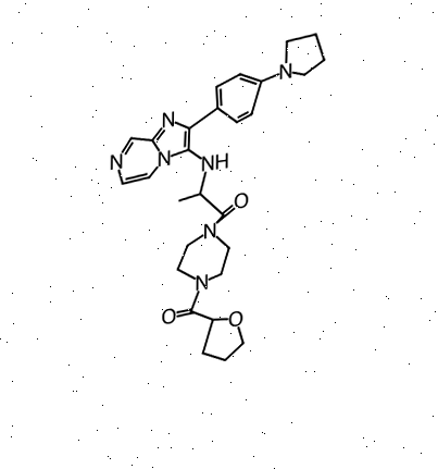 CC(Nc1c(-c2ccc(N3CCCC3)cc2)nc2cnccn12)C(=O)N1CCN(C(=O)C2CCCO2)CC1